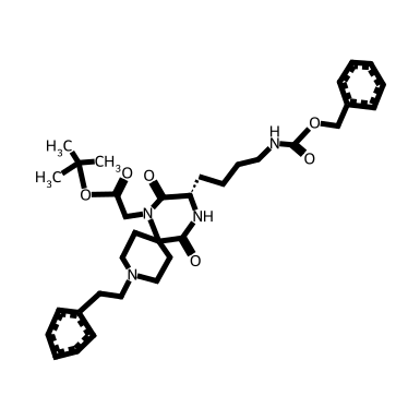 CC(C)(C)OC(=O)CN1C(=O)[C@H](CCCCNC(=O)OCc2ccccc2)NC(=O)C12CCN(CCc1ccccc1)CC2